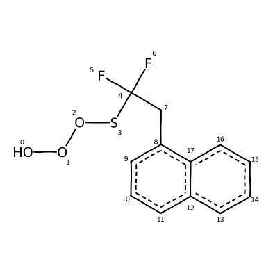 OOOSC(F)(F)Cc1cccc2ccccc12